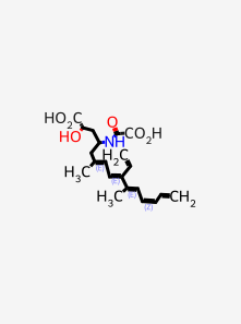 C=C\C=C/C=C(C)/C(C=C)=C/C=C(\C)CC(CC(O)C(=O)O)NC(=O)C(=O)O